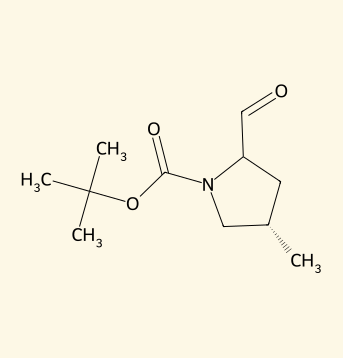 C[C@H]1CC(C=O)N(C(=O)OC(C)(C)C)C1